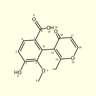 COc1c(O)ccc(C(=O)O)c1-c1c(C)occc1=O